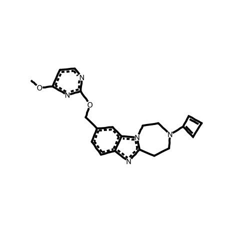 COc1ccnc(OCc2ccc3nc4n(c3c2)CCN(C2=CC=C2)CC4)n1